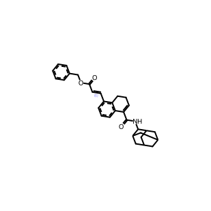 O=C(/C=C/c1cccc2c1CCC=C2C(=O)NC1C2CC3CC(C2)CC1C3)OCc1ccccc1